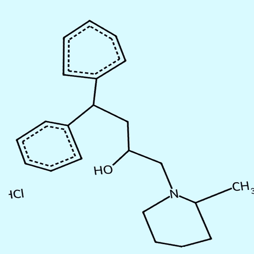 CC1CCCCN1CC(O)CC(c1ccccc1)c1ccccc1.Cl